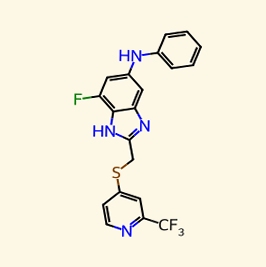 Fc1cc(Nc2ccccc2)cc2nc(CSc3ccnc(C(F)(F)F)c3)[nH]c12